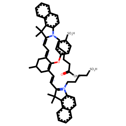 COC(=O)CCCCCN1/C(=C\C=C2/CC(C)CC(/C=C/C3=[N+](CCCCS(=O)(=O)O)c4ccc5ccccc5c4C3(C)C)=C2Oc2ccc(S(=O)(=O)O)cc2)C(C)(C)c2c1ccc1ccccc21